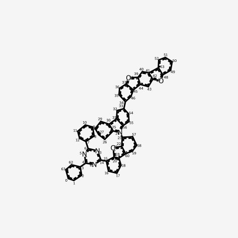 c1ccc(-c2nc(-c3ccccc3)nc(-c3cccc4c3oc3c(-n5c6ccccc6c6cc(-c7ccc8oc9cc%10c(cc9c8c7)oc7ccccc7%10)ccc65)cccc34)n2)cc1